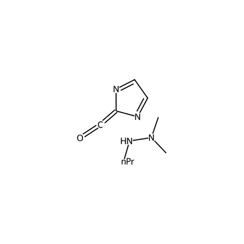 CCCNN(C)C.O=C=C1N=CC=N1